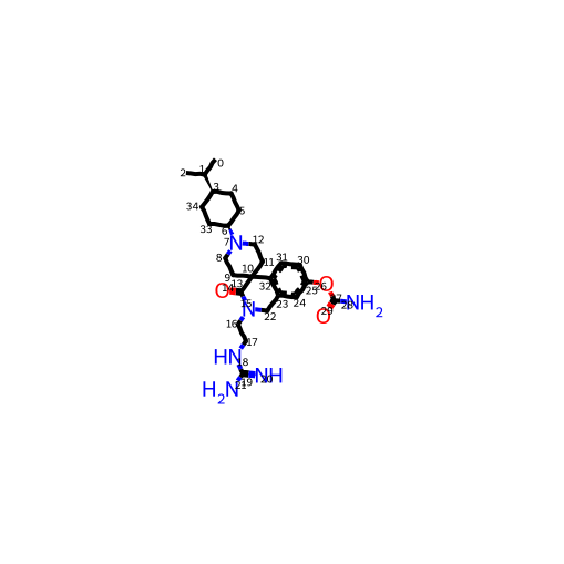 CC(C)[C@H]1CC[C@@H](N2CCC3(CC2)C(=O)N(CCNC(=N)N)Cc2cc(OC(N)=O)ccc23)CC1